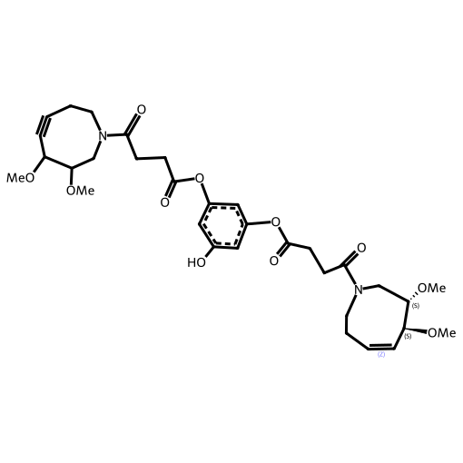 COC1C#CCCN(C(=O)CCC(=O)Oc2cc(O)cc(OC(=O)CCC(=O)N3CC/C=C\[C@H](OC)[C@@H](OC)C3)c2)CC1OC